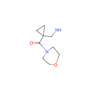 [NH]CC1(C(=O)N2CCOCC2)CC1